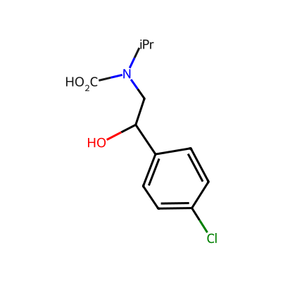 CC(C)N(CC(O)c1ccc(Cl)cc1)C(=O)O